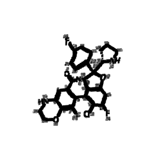 NC(=O)c1cc2c(c(F)c1-c1c(Cl)c(F)cc3c1C[C@](c1ccc(F)cc1)([C@@H]1CCCN1)O3)OCCN2